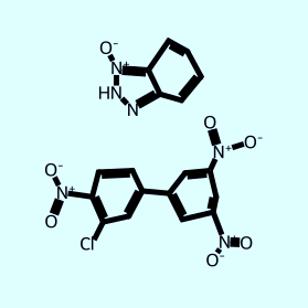 O=[N+]([O-])c1cc(-c2ccc([N+](=O)[O-])c(Cl)c2)cc([N+](=O)[O-])c1.[O-][n+]1[nH]nc2ccccc21